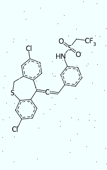 O=S(=O)(CC(F)(F)F)Nc1cccc(C=C=C2c3ccc(Cl)cc3CSc3cc(Cl)ccc32)c1